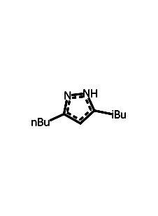 CCCCc1cc(C(C)CC)[nH]n1